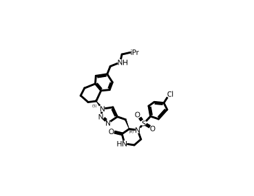 CC(C)CNCc1ccc2c(c1)CCC[C@@H]2n1cc(C[C@@H]2C(=O)NCCN2S(=O)(=O)c2ccc(Cl)cc2)nn1